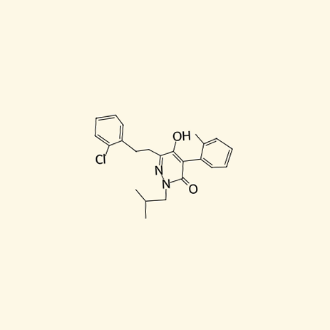 Cc1ccccc1-c1c(O)c(CCc2ccccc2Cl)nn(CC(C)C)c1=O